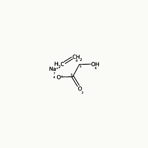 C=C.O=C([O-])CO.[Na+]